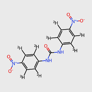 [2H]c1c([2H])c([N+](=O)[O-])c([2H])c([2H])c1NC(=O)Nc1c([2H])c([2H])c([N+](=O)[O-])c([2H])c1[2H]